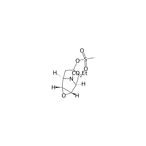 CCOC(=O)N1[C@@H]2CC(OS(C)(=O)=O)C[C@H]1[C@@H]1O[C@@H]12